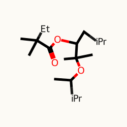 CCC(C)(C)C(=O)OC(CC(C)C)C(C)(C)OC(C)C(C)C